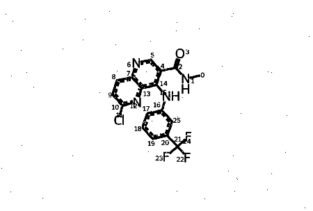 CNC(=O)c1cnc2ccc(Cl)nc2c1Nc1cccc(C(F)(F)F)c1